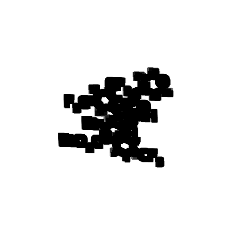 CCOC(=O)N1c2ccc(C(F)(F)F)cc2[C@@H](NC2(Cc3cc(C(F)(F)F)cc(C(F)(F)F)c3)N=C(CN3CCOCC3)ON2)C[C@H]1CC